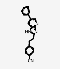 N#Cc1ccc(CCc2nc3ncc(-c4ccccc4)cc3[nH]2)cc1